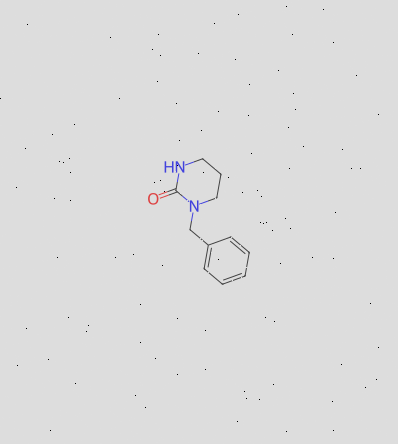 O=C1NCCCN1Cc1ccccc1